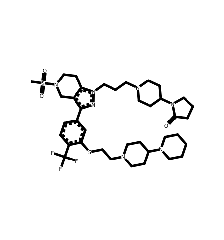 CS(=O)(=O)N1CCc2c(c(-c3ccc(C(F)(F)F)c(SCCN4CCC(N5CCCCC5)CC4)c3)nn2CCCN2CCC(N3CCCC3=O)CC2)C1